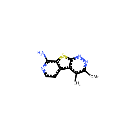 COc1nnc2sc3c(N)nccc3c2c1C